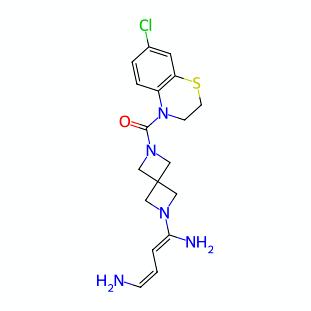 N/C=C\C=C(/N)N1CC2(CN(C(=O)N3CCSc4cc(Cl)ccc43)C2)C1